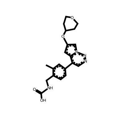 Cc1cc(-c2cnnn3cc(OC4CCOCC4)cc23)ccc1CNC(=O)O